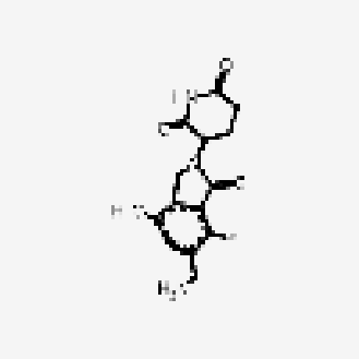 Cc1cc(CN)c(F)c2c1CN(C1CCC(=O)NC1=O)C2=O